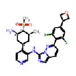 C[C@H]1C[C@@H](c2ccncc2Nc2ncc3ccc(-c4c(F)cc(C5COC5)cc4F)nn23)C[C@@H](N)[C@H]1S(C)(=O)=O